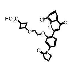 O=C(O)C1CC(OCCOc2cc(N3CCCC3=O)ccc2-c2cc(=O)c3cccc(Cl)c3o2)C1